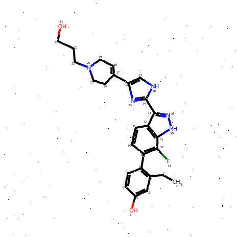 CCc1cc(O)ccc1-c1ccc2c(-c3nc(C4=CCN(CCCO)CC4)c[nH]3)n[nH]c2c1F